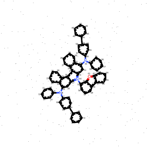 c1ccc(-c2ccc(N(c3ccccc3)c3cc4c(c5ccccc35)c3c5ccccc5c(N(c5ccccc5)c5ccc(-c6ccccc6)cc5)cc3n4-c3cccc4c3oc3ccccc34)cc2)cc1